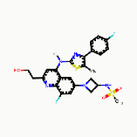 CCN(c1nc(-c2ccc(F)cc2)c(C#N)s1)c1cc(CCO)nc2c(F)cc(N3CC(NS(C)(=O)=O)C3)cc12